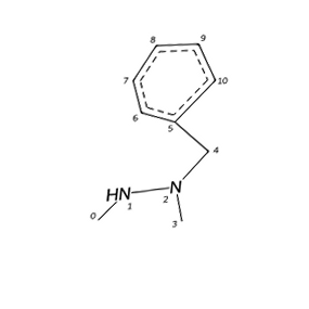 CNN(C)Cc1ccccc1